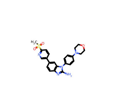 CS(=O)(=O)c1ccc(-c2ccc3nc(N)n(-c4ccc(N5CCOCC5)cc4)c3c2)cn1